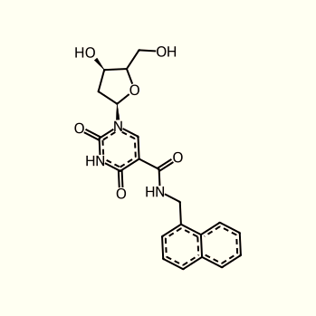 O=C(NCc1cccc2ccccc12)c1cn([C@H]2C[C@@H](O)C(CO)O2)c(=O)[nH]c1=O